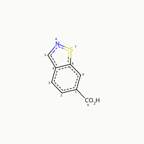 O=C(O)c1ccc2cnsc2c1